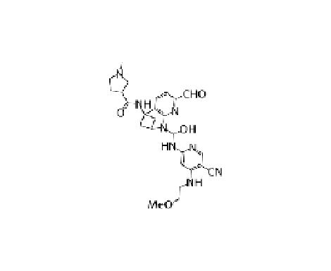 COCCNc1cc(NC(O)N2c3nc(C=O)ccc3C3(NC(=O)C4CCN(C)C4)CC2C3)ncc1C#N